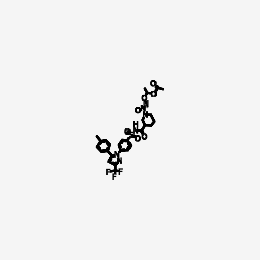 CC(=O)OC(C)ON=[N+]([O-])N1CCCC(C(=O)NS(=O)(=O)c2ccc(-n3nc(C(F)(F)F)cc3-c3ccc(C)cc3)cc2)C1